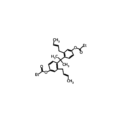 CC=CCc1cc(OC(=O)CC)ccc1C(C)(C)c1ccc(OC(=O)CC)cc1CC=CC